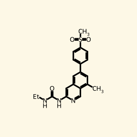 CCNC(=O)Nc1cc2cc(-c3ccc(S(C)(=O)=O)cc3)cc(C)c2cn1